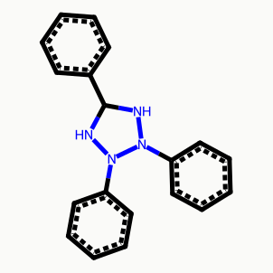 c1ccc(C2NN(c3ccccc3)N(c3ccccc3)N2)cc1